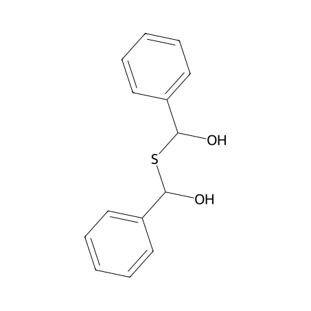 OC(SC(O)c1ccccc1)c1ccccc1